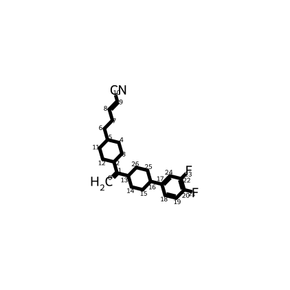 C=C(C1CCC(CCC=CC#N)CC1)C1CCC(c2ccc(F)c(F)c2)CC1